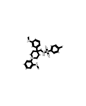 COc1cccc(C2(CNS(=O)(=O)c3ccc(C)cc3)CCN(c3ccccc3OC)CC2)c1